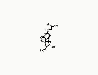 CCCC(CCC)CNc1ccn([C@]2(O)O[C@H](CO)[C@@H](O)C2(F)F)c(=O)n1